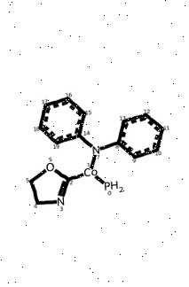 [PH2][Co]([C]1=NCCO1)[N](c1ccccc1)c1ccccc1